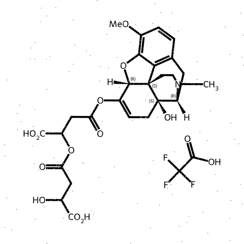 COc1ccc2c3c1O[C@H]1C(OC(=O)CC(OC(=O)CC(O)C(=O)O)C(=O)O)=CC[C@@]4(O)[C@@H](C2)N(C)CC[C@]314.O=C(O)C(F)(F)F